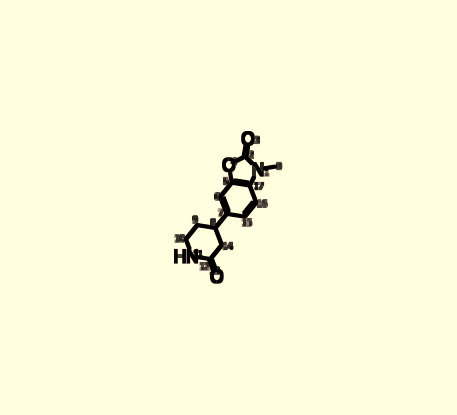 Cn1c(=O)oc2cc(C3CCNC(=O)C3)ccc21